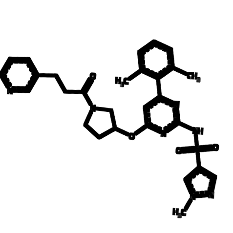 Cc1cccc(C)c1-c1cc(OC2CCN(C(=O)CCc3cccnc3)C2)nc(NS(=O)(=O)c2cnn(C)c2)n1